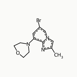 Cc1cn2cc(Br)cc(N3CCOCC3)c2n1